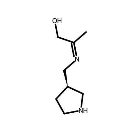 C/C(CO)=N/C[C@@H]1CCNC1